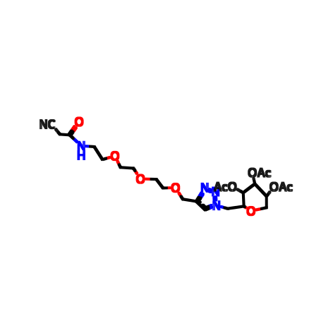 CC(=O)OC1COC(Cn2cc(COCCOCCOCCNC(=O)CC#N)nn2)C(OC(C)=O)C1OC(C)=O